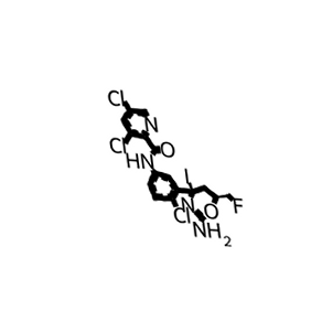 NC1=N[C@](I)(c2cc(NC(=O)c3ncc(Cl)cc3Cl)ccc2Cl)C[C@@H](CF)O1